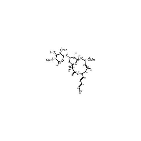 CO[C@@H]1[C@@H](O)[C@@H](OC)[C@H](O[C@@H]2C[C@]3(O)O[C@H](C[C@H](OC)/C=C(\C)C[C@@H](/C=C/C=C/Br)OC(=O)[C@H]3C)[C@H]2C)O[C@H]1C